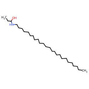 CCCCCCCCCCCCCCCCCCCCCCCCCNC(O)CC